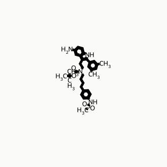 Cc1cc(C)cc(-c2[nH]c3ccc(N)cc3c2CCN(CCCCc2ccc(NS(C)(=O)=O)cc2)C(=O)OC(C)(C)C)c1